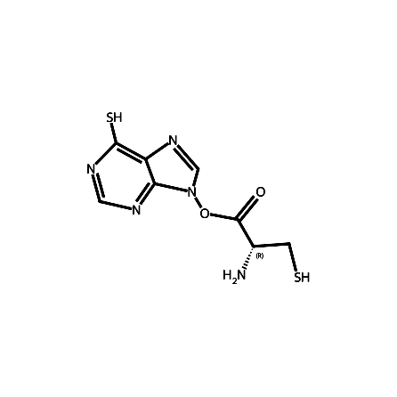 N[C@@H](CS)C(=O)On1cnc2c(S)ncnc21